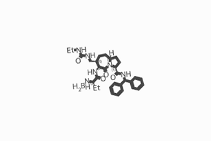 BN[C@@H](CC)C(=O)N[C@@H]1C(=O)N2[C@@H](CC[C@@H]1CNC(=O)NCC)CC[C@H]2C(=O)NC(c1ccccc1)c1ccccc1